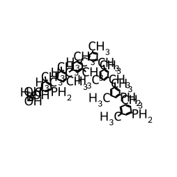 Cc1cc(C)cc(C)c1.Cc1cc(C)cc(C)c1.Cc1cc(C)cc(C)c1.Cc1cc(C)cc(C)c1.Cc1cc(C)cc(P)c1.Cc1cc(C)cc(P)c1.Cc1cc(C)cc(P)c1.OB(O)O